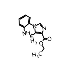 CCOC(=O)c1ncn(-c2ccccc2N)c1C